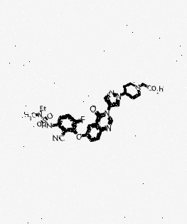 CCN(C)S(=O)(=O)Nc1ccc(F)c(Oc2ccc3ncn(-c4cnn(C5CCN(CC(=O)O)CC5)c4)c(=O)c3c2)c1C#N